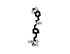 O=C(/C=C/c1ccc(CNCCc2ccc3c(c2)OCO3)cc1)NO